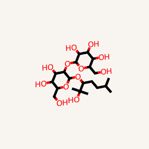 CC(C)CCC(OC1OC(CO)C(O)C(O)C1OC1OC(CO)C(O)C(O)C1O)C(C)(C)O